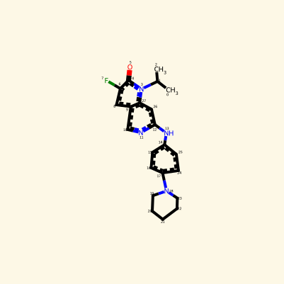 CC(C)n1c(=O)c(F)cc2cnc(Nc3ccc(N4CCCCC4)cc3)cc21